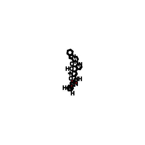 Cn1cc(-c2ccnc(N3CCn4c(cc5c4CCCC5)C3=O)c2CO)cc(Nc2ccc(N3[C@@H]4C[C@H]3CN(C3COC3)C4)cn2)c1=O